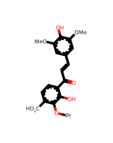 COc1cc(/C=C/C(=O)c2ccc(C(=O)O)c(OC(C)C)c2O)cc(OC)c1O